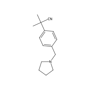 CC(C)(C#N)c1ccc(CN2CCCC2)cc1